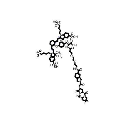 CC1(C)C(/C=C/C2=C(Oc3ccc(C[C@H](NC(=O)CCOCCOCCNC(=O)c4ccc5c(c4)CN(C(=O)C[C@@H]4C[C@@H](C(=O)N6CC(F)(F)C[C@H]6C#N)NC4=O)C5)C(=O)O)cc3)C(=C/C=C3/N(CCCCS(=O)(=O)O)c4ccc(S(=O)(=O)O)cc4C3(C)C)/CCC2)=[N+](CCCCS(=O)(=O)[O-])c2ccc(S(=O)(=O)O)cc21